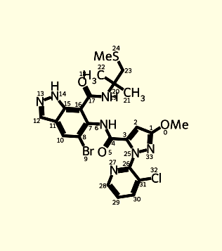 COc1cc(C(=O)Nc2c(Br)cc3cn[nH]c3c2C(=O)NC(C)(C)CSC)n(-c2ncccc2Cl)n1